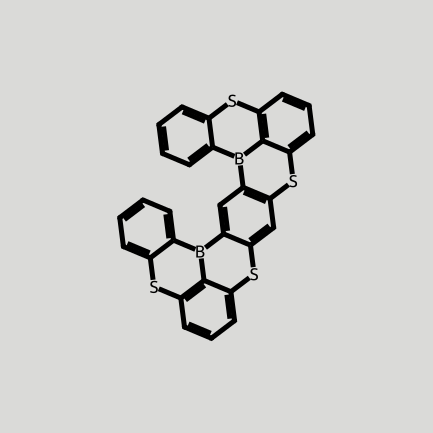 c1ccc2c(c1)Sc1cccc3c1B2c1cc2c(cc1S3)Sc1cccc3c1B2c1ccccc1S3